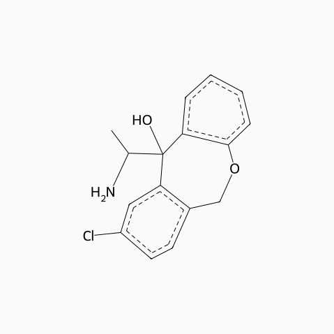 CC(N)C1(O)c2cc(Cl)ccc2COc2ccccc21